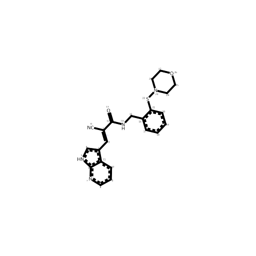 N#C/C(=C\c1c[nH]c2ncccc12)C(=O)NCc1ccccc1SN1CCOCC1